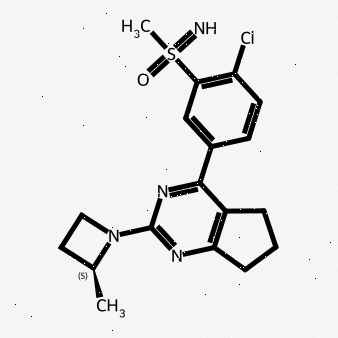 C[C@H]1CCN1c1nc2c(c(-c3ccc(Cl)c(S(C)(=N)=O)c3)n1)CCC2